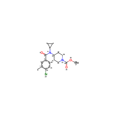 Cc1cc(C(=O)N(C2CC2)C2CCN(C(=O)OC(C)(C)C)CC2)ccc1Br